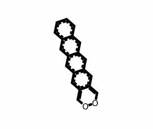 C1=c2cc3cc4cc5ccccc5cc4cc3cc2=COO1